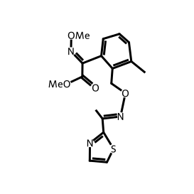 CO/N=C(/C(=O)OC)c1cccc(C)c1CO/N=C(\C)c1nccs1